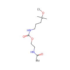 CCO[Si](C)(C)CCCNC(=O)OCCNC(=O)C(C)CC